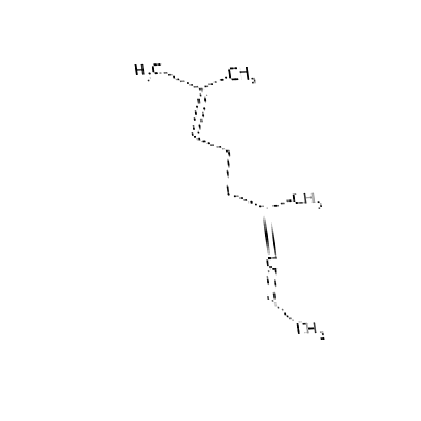 CC=C=C(C)CCC=C(C)C